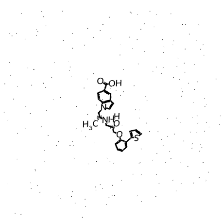 C[C@H](Cn1ccc2cc(C(=O)O)ccc21)NC[C@H](O)COc1ccccc1-c1cccs1